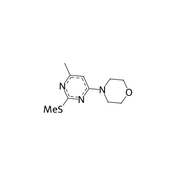 CSc1nc(C)cc(N2CCOCC2)n1